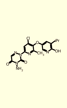 Cc1nc(-n2ncc(=O)n(N)c2=O)cc(Cl)c1Oc1cnc(O)c(C(C)C)c1